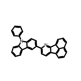 c1ccc(-n2c3ccccc3c3cc(-c4ccc5c(n4)-c4cccc6cccc-5c46)ccc32)cc1